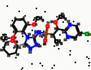 COc1cccc(OC)c1-n1c(NS(=O)(=O)C(C)C(OC)c2ncc(Cl)cn2)nnc1[C@@H]1CCCCO1